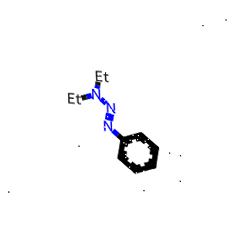 CCN(CC)/N=N/c1ccccc1